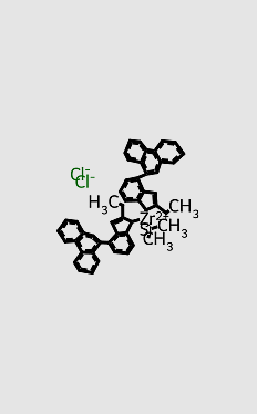 CCC1=Cc2c(-c3cc4ccccc4c4ccccc34)cccc2[CH]1[Zr+2]([CH]1C(CC)=Cc2c(-c3cc4ccccc4c4ccccc34)cccc21)=[Si](C)C.[Cl-].[Cl-]